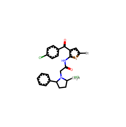 CCc1cc(C(=O)c2ccc(Cl)cc2)c(NC(=O)CN2C(C(=O)O)CCC2c2ccccc2)s1.Cl